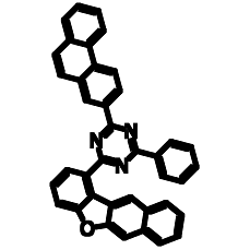 c1ccc(-c2nc(-c3ccc4c(ccc5ccccc54)c3)nc(-c3cccc4oc5cc6ccccc6cc5c34)n2)cc1